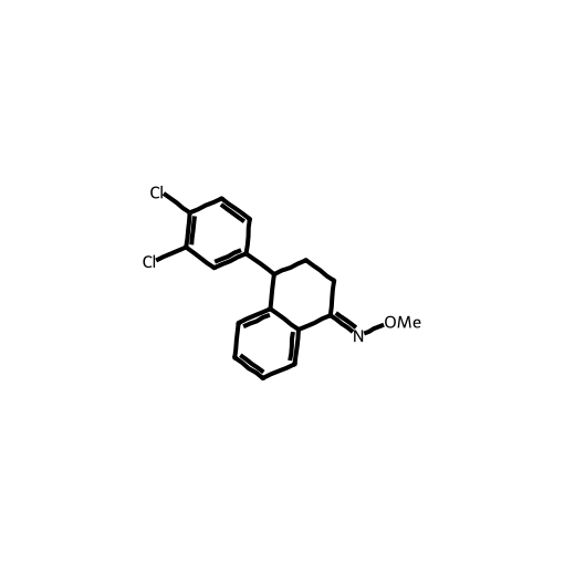 CON=C1CCC(c2ccc(Cl)c(Cl)c2)c2ccccc21